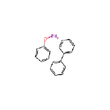 POc1ccccc1.c1ccc(-c2ccccc2)cc1